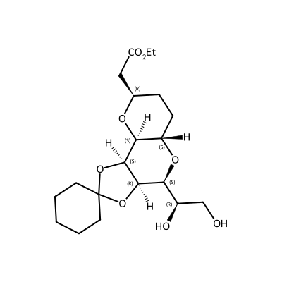 CCOC(=O)C[C@H]1CC[C@@H]2O[C@@H]([C@H](O)CO)[C@H]3OC4(CCCCC4)O[C@H]3[C@H]2O1